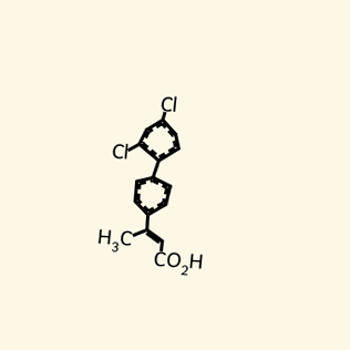 CC(=CC(=O)O)c1ccc(-c2ccc(Cl)cc2Cl)cc1